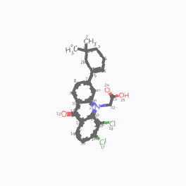 CC1(C)CCC=C(c2ccc3c(=O)c4ccc(Cl)c(Cl)c4n(CC(=O)O)c3c2)C1